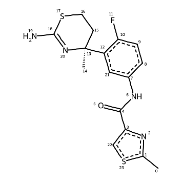 Cc1nc(C(=O)Nc2ccc(F)c([C@]3(C)CCSC(N)=N3)c2)cs1